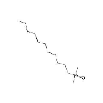 CCCCCCCCCCCP(C)(C)=O